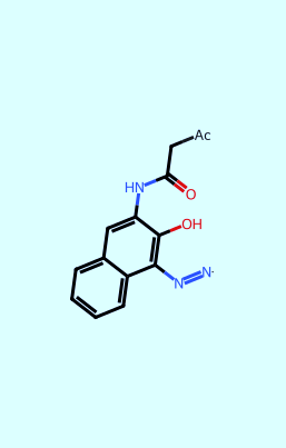 CC(=O)CC(=O)Nc1cc2ccccc2c(N=[N])c1O